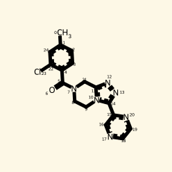 Cc1ccc(C(=O)N2CCn3c(nnc3-c3cnccn3)C2)c(Cl)c1